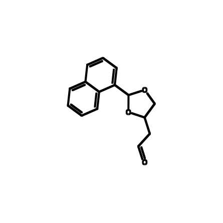 O=CCC1COC(c2cccc3ccccc23)O1